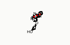 Cc1cncc(CN2CC3CC(C2)N3c2ccc(-c3cc(OCCN4CC5C(O)C5C4)cn4ncc(C)c34)cn2)n1